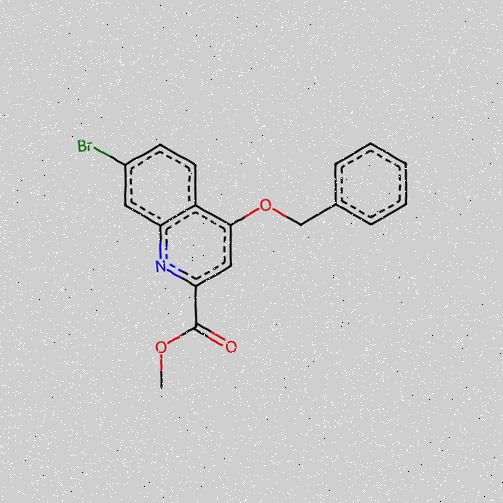 COC(=O)c1cc(OCc2ccccc2)c2ccc(Br)cc2n1